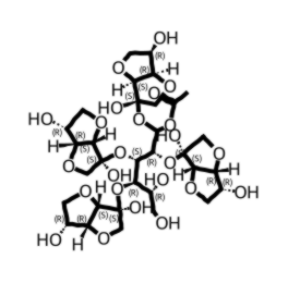 CC(=O)OC(O[C@@]1(O)CO[C@@H]2[C@H](O)CO[C@@H]21)[C@H](O[C@@]1(O)CO[C@@H]2[C@H](O)CO[C@@H]21)[C@@H](O[C@@]1(O)CO[C@@H]2[C@H](O)CO[C@@H]21)[C@H](O[C@@]1(O)CO[C@@H]2[C@H](O)CO[C@@H]21)[C@H](O)CO